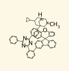 C[C@H]1C[C@@H]2CC(C3CC3)CC(c3ccc(-c4nc(-c5ccccc5)nc(-c5ccccc5-c5ccc6c(c5)-c5ccccc5C65c6ccccc6Oc6ccccc65)n4)cc3)(C1)C2